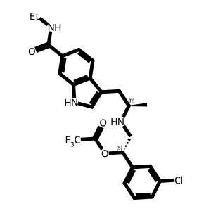 CCNC(=O)c1ccc2c(C[C@@H](C)NC[C@@H](OC(=O)C(F)(F)F)c3cccc(Cl)c3)c[nH]c2c1